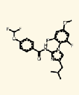 COc1cc(F)c(-n2cc(CC(C)C)nc2NC(=O)c2ccc(OC(F)F)cc2)c(F)c1